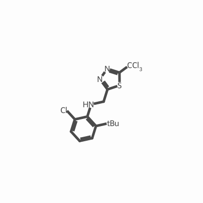 CC(C)(C)c1cccc(Cl)c1NCc1nnc(C(Cl)(Cl)Cl)s1